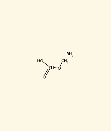 B.CO[PH](=O)O